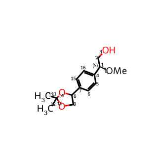 CO[C@H](CO)c1ccc(C2COC(C)(C)O2)cc1